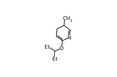 CCC(CC)OC1=CCC(C)C=N1